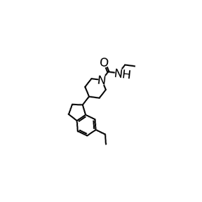 CCNC(=O)N1CCC(C2CCc3ccc(CC)cc32)CC1